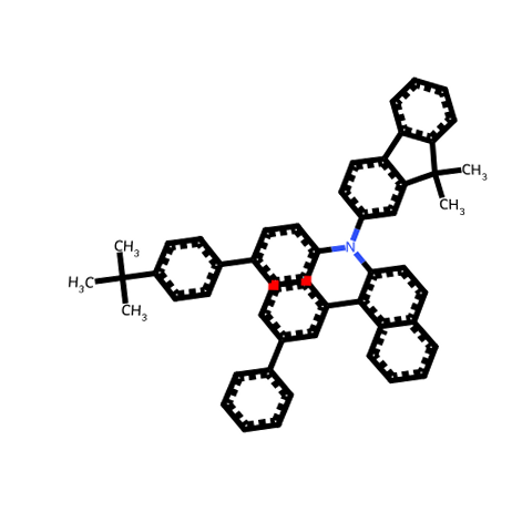 CC(C)(C)c1ccc(-c2ccc(N(c3ccc4c(c3)C(C)(C)c3ccccc3-4)c3ccc4ccccc4c3-c3cccc(-c4ccccc4)c3)cc2)cc1